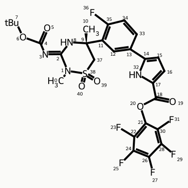 CN1/C(=N/C(=O)OC(C)(C)C)N[C@](C)(c2cc(-c3ccc(C(=O)Oc4c(F)c(F)c(F)c(F)c4F)[nH]3)ccc2F)CS1(=O)=O